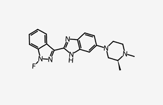 C[C@H]1CN(c2ccc3nc(-c4nn(F)c5ccccc45)[nH]c3c2)CCN1C